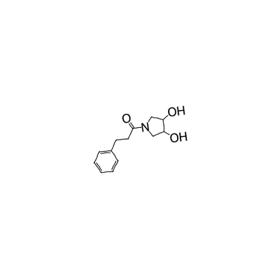 O=C(CCc1ccccc1)N1CC(O)C(O)C1